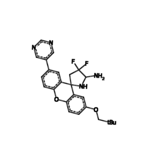 CC(C)(C)COc1ccc2c(c1)C1(CC(F)(F)C(N)N1)c1cc(-c3cncnc3)ccc1O2